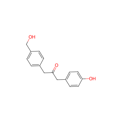 O=C(Cc1ccc(O)cc1)Cc1ccc(CO)cc1